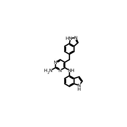 Nc1ncc(Cc2ccc3[nH]ncc3c2)c(Nc2cccc3[nH]ccc23)n1